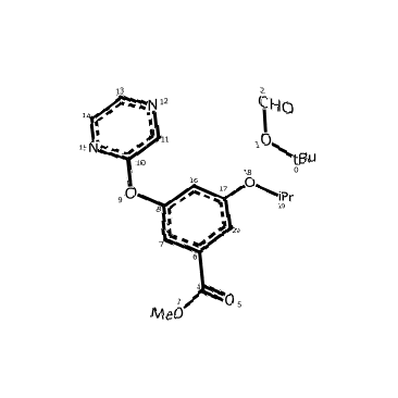 CC(C)(C)OC=O.COC(=O)c1cc(Oc2cnccn2)cc(OC(C)C)c1